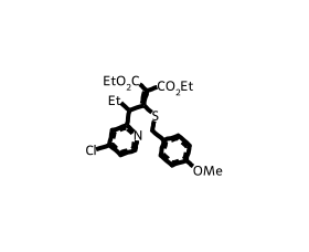 CCOC(=O)C(C(=O)OCC)=C(SCc1ccc(OC)cc1)C(CC)c1cc(Cl)ccn1